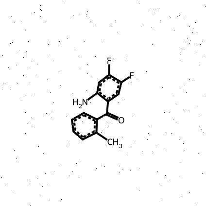 Cc1ccccc1C(=O)c1cc(F)c(F)cc1N